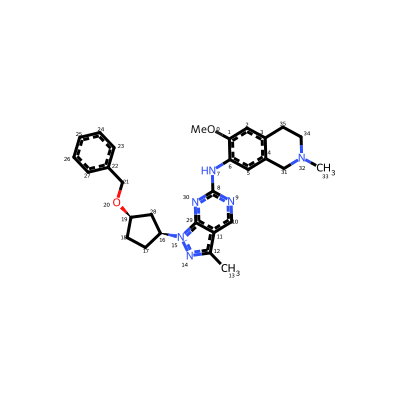 COc1cc2c(cc1Nc1ncc3c(C)nn([C@H]4CC[C@@H](OCc5ccccc5)C4)c3n1)CN(C)CC2